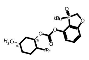 CC(C)C1CC[C@H](C)C[C@@H]1OC(=O)Oc1cccc2c1P(=O)(C(C)(C)C)CO2